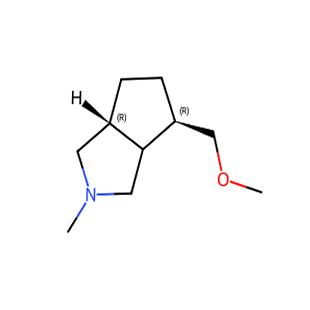 COC[C@@H]1CC[C@H]2CN(C)CC12